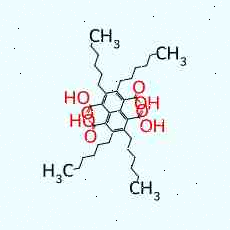 CCCCCCc1c(CCCCCC)c(C(=O)O)c2c(C(=O)O)c(CCCCCC)c(CCCCCC)c(C(=O)O)c2c1C(=O)O